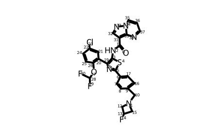 O=C(Nc1sc(-c2ccc(CN3CC(F)C3)cc2)nc1-c1cc(Cl)ccc1OC(F)F)c1cnn2cccnc12